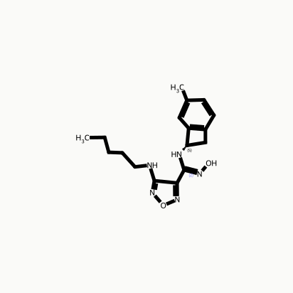 CCCCCNc1nonc1/C(=N/O)N[C@H]1Cc2ccc(C)cc21